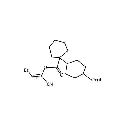 CC/C=C(/C#N)OC(=O)C1(C2CCC(CCCCC)CC2)CCCCC1